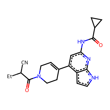 CCC(C#N)C(=O)N1CC=C(c2cc(NC(=O)C3CC3)nc3[nH]ccc23)CC1